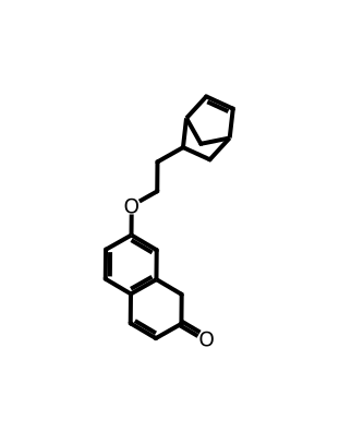 O=C1C=Cc2ccc(OCCC3CC4C=CC3C4)cc2C1